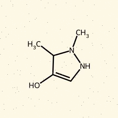 CC1C(O)=CNN1C